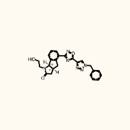 O=C1C[C@@H]2Cc3c(-c4noc(-c5cn(Cc6ccccc6)nn5)n4)cccc3[C@@H]2N1CCO